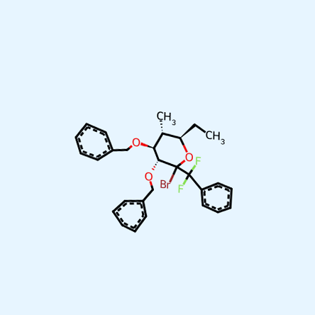 CC[C@H]1OC(Br)(C(F)(F)c2ccccc2)[C@H](OCc2ccccc2)[C@@H](OCc2ccccc2)[C@@H]1C